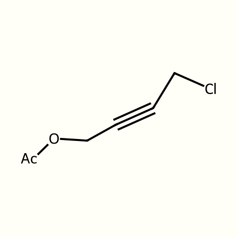 CC(=O)OCC#CCCl